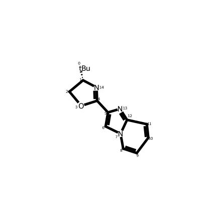 CC(C)(C)[C@H]1COC(c2cn3ccccc3n2)=N1